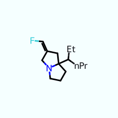 CCCC(CC)C12CCCN1C/C(=C\F)C2